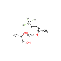 CC(O)CO.C[SiH](CCC(F)(F)F)O[SiH3]